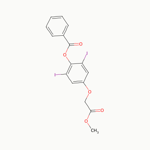 COC(=O)COc1cc(I)c(OC(=O)c2ccccc2)c(I)c1